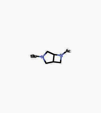 CC(=O)N1CC2CN(C(C)(C)C)CC21